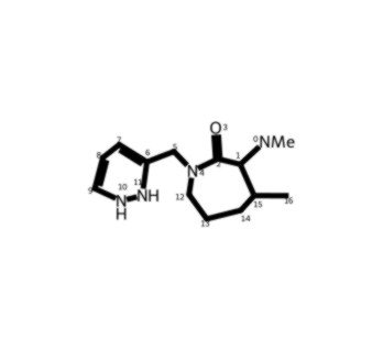 CNC1C(=O)N(CC2=CC=CNN2)CCCC1C